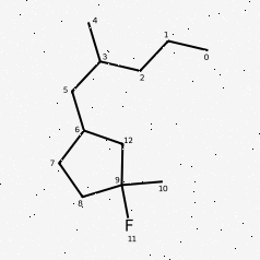 CCCC(C)CC1CCC(C)(F)C1